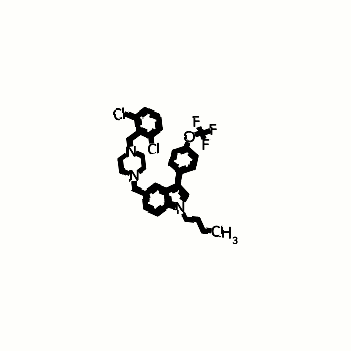 CCCCn1cc(-c2ccc(OC(F)(F)F)cc2)c2cc(CN3CCN(Cc4c(Cl)cccc4Cl)CC3)ccc21